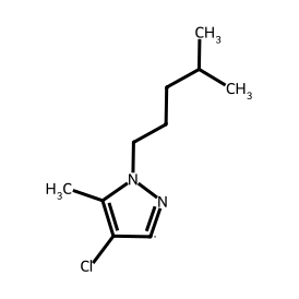 Cc1c(Cl)[c]nn1CCCC(C)C